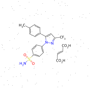 Cc1ccc(-c2cc(C(F)(F)F)nn2-c2ccc(S(N)(=O)=O)cc2)cc1.O=C(O)/C=C/C(=O)O